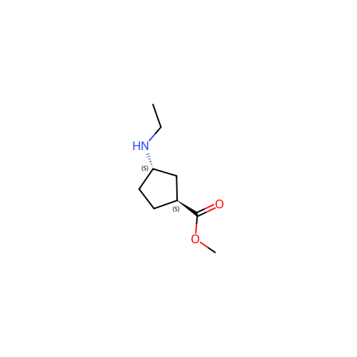 CCN[C@H]1CC[C@H](C(=O)OC)C1